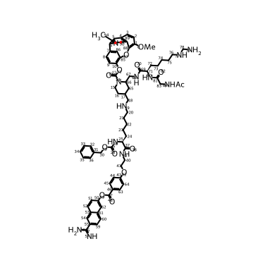 COc1ccc2cc3c4ccc(OC(=O)N5CCC(CNCCCCC[C@H](NC(=O)OCc6ccccc6)C(=O)NCCOc6ccc(C(=O)Oc7ccc8cc(C(=N)N)ccc8c7)cc6)CC5CNC(=O)[C@@H](CCCCCNCN)NC(=O)CNC(C)=O)c(c4)oc1c2CCCN3C